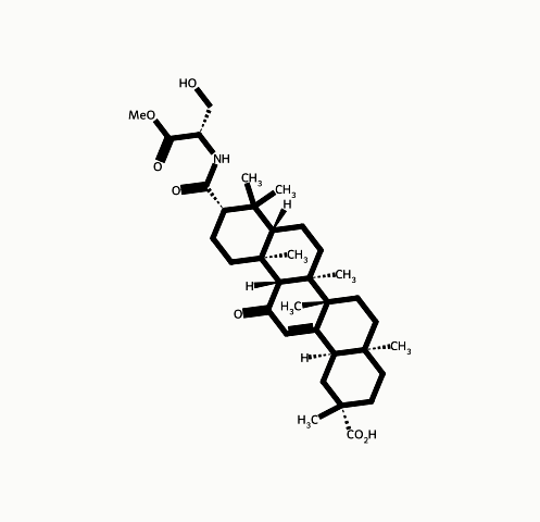 COC(=O)[C@H](CO)NC(=O)[C@H]1CC[C@]2(C)[C@H]3C(=O)C=C4[C@@H]5C[C@@](C)(C(=O)O)CC[C@]5(C)CC[C@@]4(C)[C@]3(C)CC[C@H]2C1(C)C